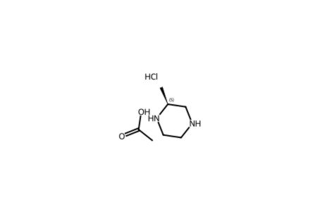 CC(=O)O.C[C@H]1CNCCN1.Cl